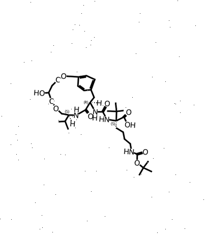 CC(C)[C@H]1COCC(O)CCOc2ccc(cc2)C[C@@H](NC(=O)N[C@](CCCCNC(=O)OC(C)(C)C)(C(=O)O)C(C)(C)C)C(=O)N1